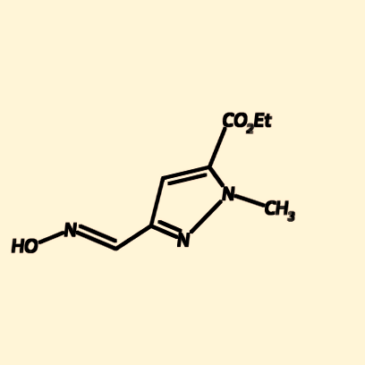 CCOC(=O)c1cc(C=NO)nn1C